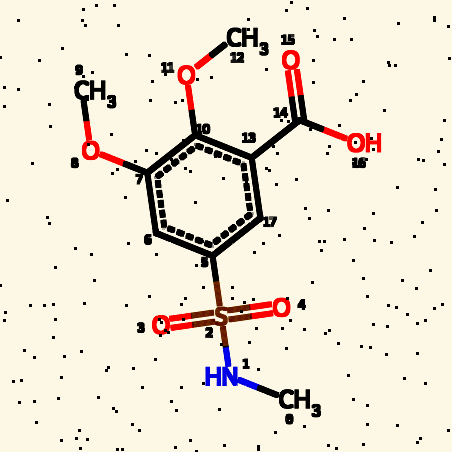 CNS(=O)(=O)c1cc(OC)c(OC)c(C(=O)O)c1